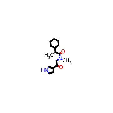 C[C@H](C(=O)N(C)CC(=O)c1cc[nH]c1)C1CCCCC1